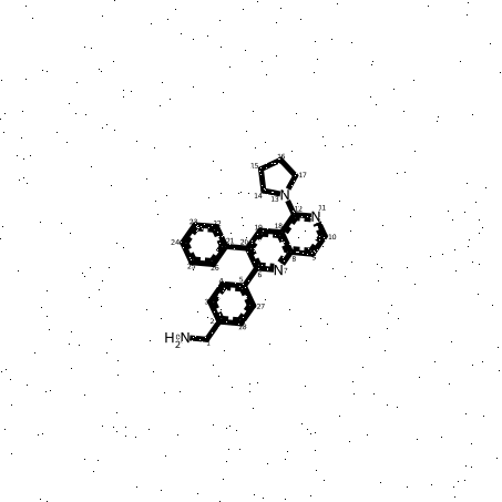 NCc1ccc(-c2nc3ccnc(N4CCCC4)c3cc2-c2ccccc2)cc1